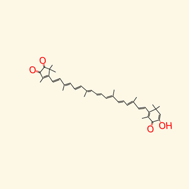 CC1=C(/C=C/C(C)=C/C=C/C(C)=C/C=C/C=C(C)/C=C/C=C(C)/C=C/C2=C(C)C(=O)C(=O)C2(C)C)C(C)(C)C=C(O)C1=O